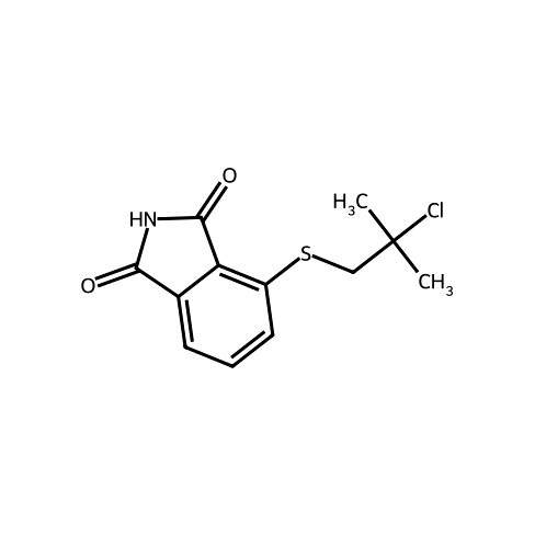 CC(C)(Cl)CSc1cccc2c1C(=O)NC2=O